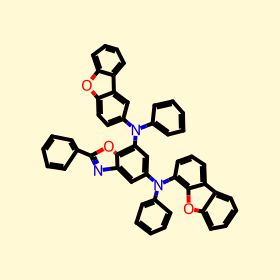 c1ccc(-c2nc3cc(N(c4ccccc4)c4cccc5c4oc4ccccc45)cc(N(c4ccccc4)c4ccc5oc6ccccc6c5c4)c3o2)cc1